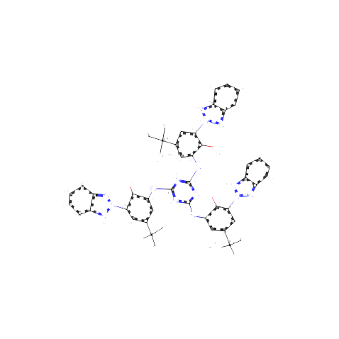 CCCCCC(C)(C)c1cc(Nc2nc(Nc3cc(C(C)(C)CCCCC)cc(-n4nc5ccccc5n4)c3O)nc(Nc3cc(C(C)(C)CCCCC)cc(-n4nc5ccccc5n4)c3O)n2)c(O)c(-n2nc3ccccc3n2)c1